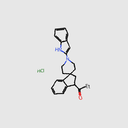 CCC(=O)C1CC2(CCN(c3cc4ccccc4[nH]3)CC2)c2ccccc21.Cl